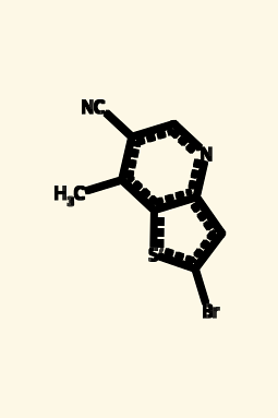 Cc1c(C#N)cnc2cc(Br)sc12